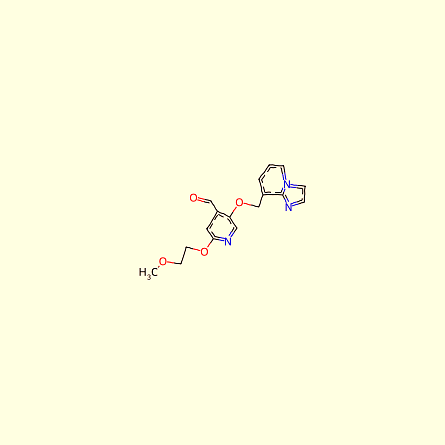 COCCOc1cc(C=O)c(OCc2cccn3ccnc23)cn1